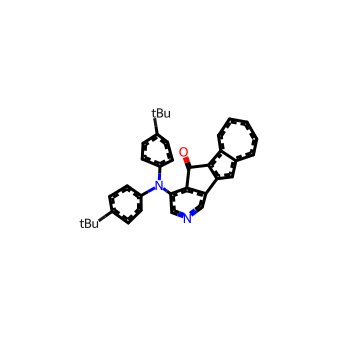 CC(C)(C)c1ccc(N(c2ccc(C(C)(C)C)cc2)c2cncc3c2C(=O)c2c4cccccc-4cc2-3)cc1